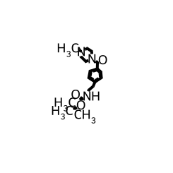 CN1CCN(C(=O)c2ccc(CCNC(=O)OC(C)(C)C)cc2)CC1